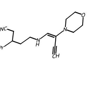 C#C/C(=C\NCCC(CC#N)C(C)C)N1CCOCC1